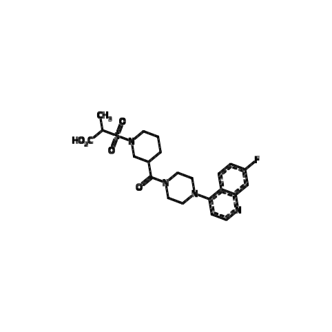 CC(C(=O)O)S(=O)(=O)N1CCCC(C(=O)N2CCN(c3ccnc4cc(F)ccc34)CC2)C1